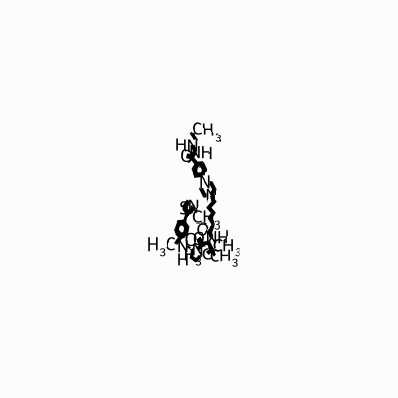 CCCNNC(=O)c1ccc(N2CCN(CCCCCC(=O)N[C@H](C(=O)N3CCC[C@H]3C(=O)N[C@@H](C)c3ccc(-c4scnc4C)cc3)C(C)(C)C)CC2)cc1